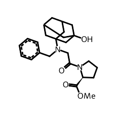 COC(=O)[C@@H]1CCCN1C(=O)CN(Cc1ccccc1)C12CC3CC(CC(O)(C3)C1)C2